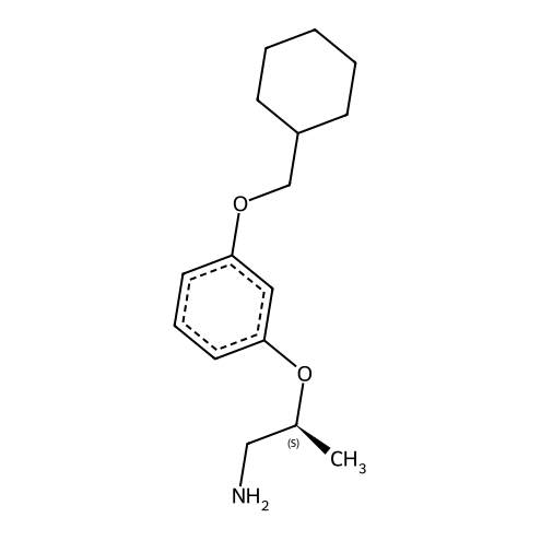 C[C@@H](CN)Oc1cccc(OCC2CCCCC2)c1